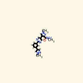 CNC(=O)c1nn(C)cc1-c1cnc(-c2cccc(-c3cnn(C)c3)c2)nc1